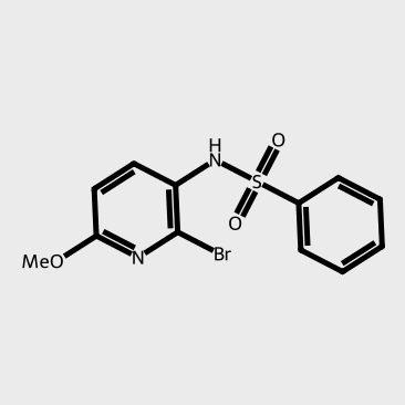 COc1ccc(NS(=O)(=O)c2ccccc2)c(Br)n1